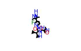 Cc1nocc1C(=O)N[C@H](C(=O)Nc1ccc(-c2c(C)n[nH]c2C)c(F)n1)C(C1CC1)C1CC1